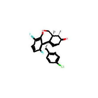 C[C@@H]1C(=O)CC[C@@]2(Cc3ccc(Cl)cc3)c3c(F)ccc(F)c3OC[C@@H]12